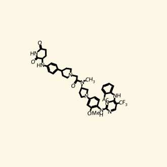 COc1cc(N2CC[C@@H](N(C)C(=O)CN3CCC(c4ccc(NC5CCC(=O)NC5=O)cc4)CC3)C2)ccc1Nc1ncc(C(F)(F)F)c(Nc2ccccc2C(C)=O)n1